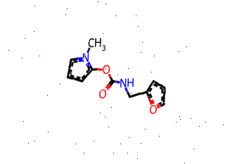 Cn1cccc1OC(=O)NCc1ccco1